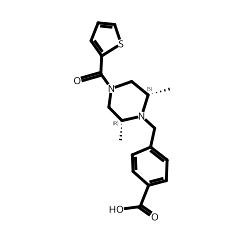 C[C@@H]1CN(C(=O)c2cccs2)C[C@H](C)N1Cc1ccc(C(=O)O)cc1